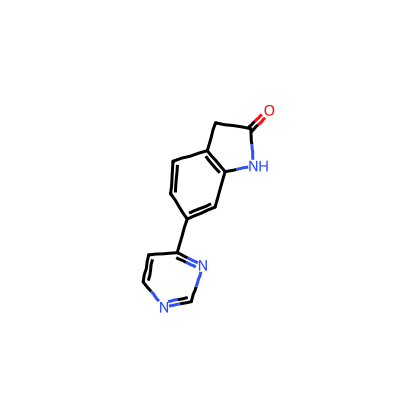 O=C1Cc2ccc(-c3ccncn3)cc2N1